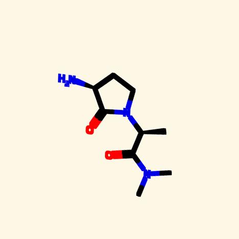 C[C@@H](C(=O)N(C)C)N1CC[C@H](N)C1=O